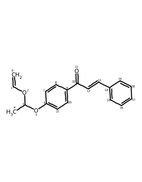 C=COC(C)Oc1ccc(C(=O)/C=C/c2ccccc2)cc1